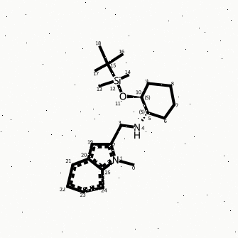 Cn1c(CN[C@H]2CCCC[C@@H]2O[Si](C)(C)C(C)(C)C)cc2ccccc21